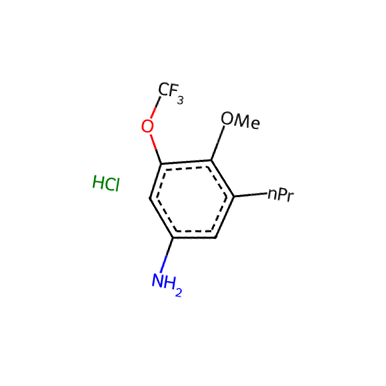 CCCc1cc(N)cc(OC(F)(F)F)c1OC.Cl